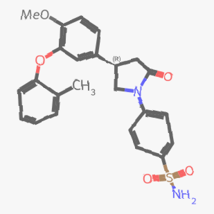 COc1ccc([C@H]2CC(=O)N(c3ccc(S(N)(=O)=O)cc3)C2)cc1Oc1ccccc1C